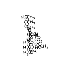 C[C@@]1(O)CC[C@@]2(C)C(CCC3C2CC[C@@]2(C)C3CC[C@@H]2c2cc(COP(=O)(OCc3cc([C@H]4CCC5C6CCC7C[C@](C)(O)CC[C@]7(C)C6CC[C@@]54C)no3)OCc3cc([C@H]4CCC5C6CCC7C[C@](C)(O)CC[C@]7(C)C6CC[C@@]54C)no3)on2)C1